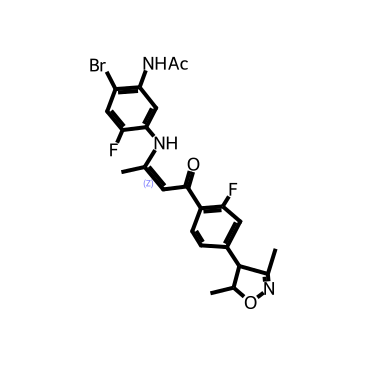 CC(=O)Nc1cc(N/C(C)=C\C(=O)c2ccc(C3C(C)=NOC3C)cc2F)c(F)cc1Br